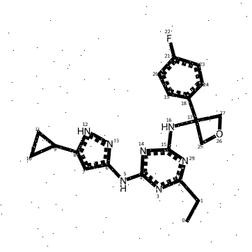 CCc1nc(Nc2cc(C3CC3)[nH]n2)nc(NC2(c3ccc(F)cc3)COC2)n1